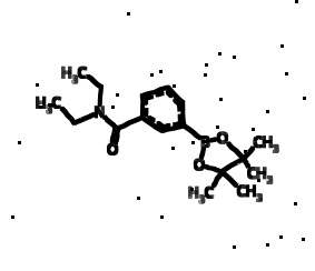 CCN(CC)C(=O)c1cccc(B2OC(C)(C)C(C)(C)O2)c1